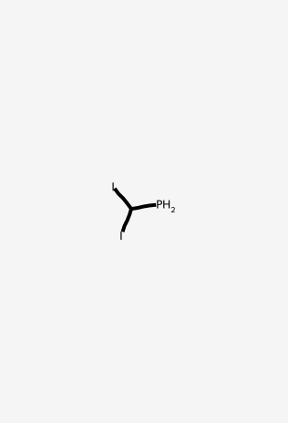 PC(I)I